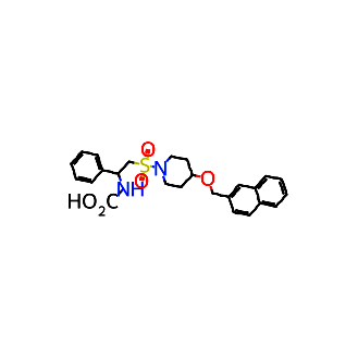 O=C(O)NC(CS(=O)(=O)N1CCC(OCc2ccc3ccccc3c2)CC1)c1ccccc1